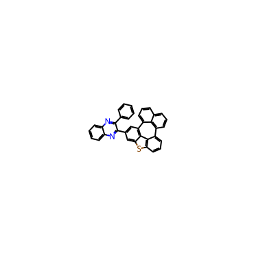 c1ccc(-c2nc3ccccc3nc2-c2cc3c4c(c2)sc2cccc(c24)-c2cccc4cccc-3c24)cc1